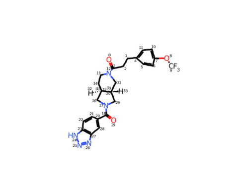 O=C(CCc1ccc(OC(F)(F)F)cc1)N1CC[C@@H]2CN(C(=O)c3ccc4[nH]nnc4c3)C[C@H]2C1